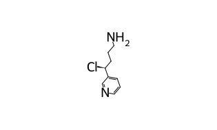 NCCC[C@H](Cl)c1cccnc1